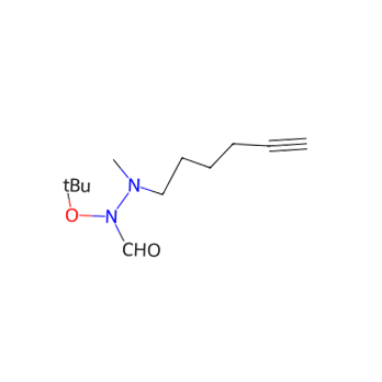 C#CCCCCN(C)N(C=O)OC(C)(C)C